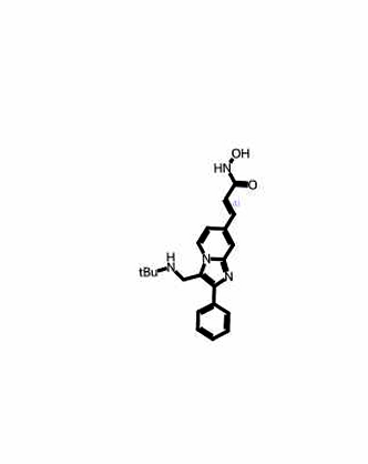 CC(C)(C)NCc1c(-c2ccccc2)nc2cc(/C=C/C(=O)NO)ccn12